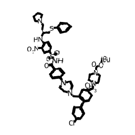 CC1(CN2CCN(C(=O)OC(C)(C)C)CC2)CCC(c2ccc(Cl)cc2)=C(CN2CCN(c3ccc(C(=O)NS(=O)(=O)c4ccc(N[C@H](CCN5CCCC5)CSc5ccccc5)c([N+](=O)[O-])c4)cc3)CC2)C1